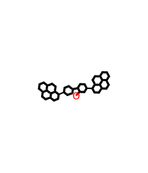 c1cc2ccc3ccc(-c4ccc5c(c4)oc4cc(-c6ccc7ccc8cccc9ccc6c7c89)ccc45)c4ccc(c1)c2c34